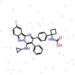 O=C(O)NC1(c2ccc(-c3nc4c5cc(F)ccc5nn4c(NC4CC4)c3-c3ccccc3)cc2)CCC1